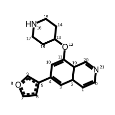 C1=CC2C=C(c3ccoc3)C=C(OC3CCNCC3)C2C=N1